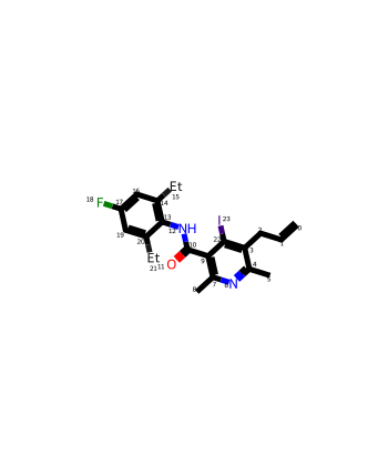 C=CCc1c(C)nc(C)c(C(=O)Nc2c(CC)cc(F)cc2CC)c1I